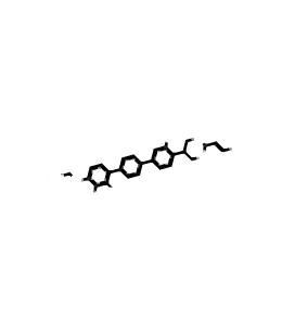 BCOc1ccc(-c2ccc(-c3ccc(C4COC(/C=C/C)OC4)c(F)c3)cc2)c(F)c1F